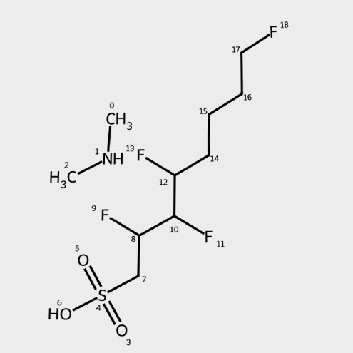 CNC.O=S(=O)(O)CC(F)C(F)C(F)CCCCF